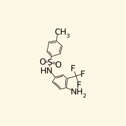 Cc1ccc(S(=O)(=O)Nc2ccc(N)c(C(F)(F)F)c2)cc1